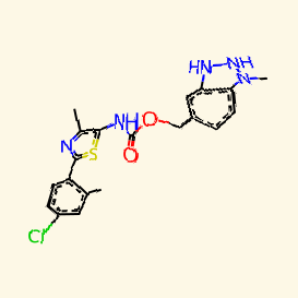 Cc1cc(Cl)ccc1-c1nc(C)c(NC(=O)OCc2ccc3c(c2)NNN3C)s1